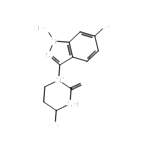 Cn1nc(N2CCC(O)NC2=O)c2ccc(Br)cc21